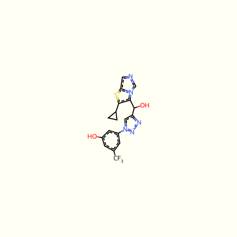 Oc1cc(-n2cc(C(O)c3c(C4CC4)sc4cncn34)nn2)cc(C(F)(F)F)c1